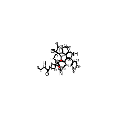 CCNC(=O)N1CC(CC#N)(N2CCC3(CC2)C(=O)N(C)c2cnc4[nH]c(-c5cnn(C)c5)c(-c5ccccc5)c4c23)C1